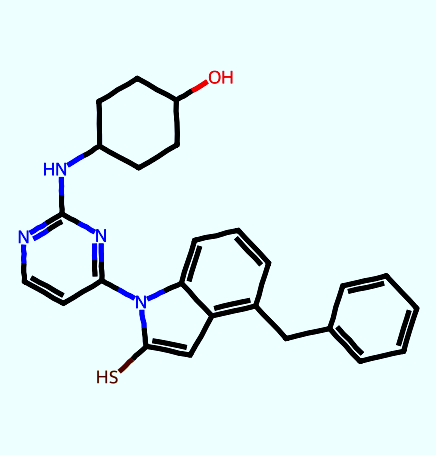 OC1CCC(Nc2nccc(-n3c(S)cc4c(Cc5ccccc5)cccc43)n2)CC1